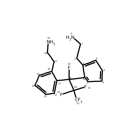 NCCc1ccccc1C(F)(c1ccccc1CCN)C(F)(F)C(F)(F)F